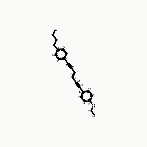 CCCCc1ccc(C#C/C=C/C#Cc2ccc(OCC)cc2)cc1